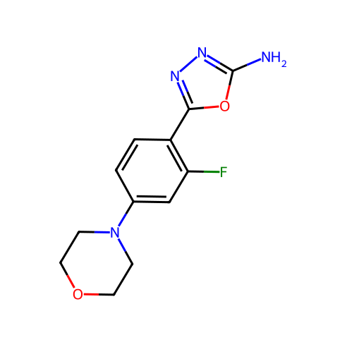 Nc1nnc(-c2ccc(N3CCOCC3)cc2F)o1